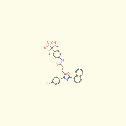 CCC(CC)(c1ccc(NC(=O)CCc2oc(-c3cccc4ccccc34)nc2-c2ccc(Cl)cc2)cc1)P(=O)(O)O